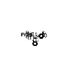 CC(C)S(=O)(=O)NC(=O)N[C@@H](Cc1ccccc1)C(=O)N(C)c1ccc2c(c1)OCO2